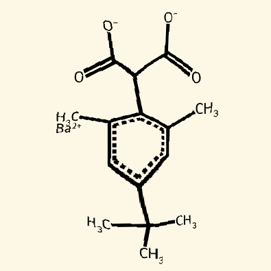 Cc1cc(C(C)(C)C)cc(C)c1C(C(=O)[O-])C(=O)[O-].[Ba+2]